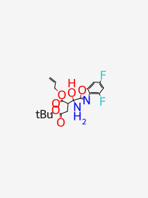 C=CCOC(=O)C(CC(=O)OC(C)(C)C)C(N)(O)c1nc2c(F)cc(F)cc2o1